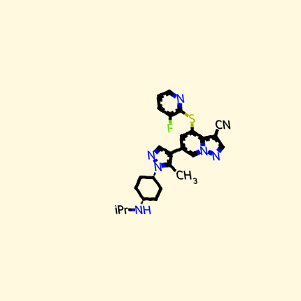 Cc1c(-c2cc(Sc3ncccc3F)c3c(C#N)cnn3c2)cnn1[C@H]1CC[C@@H](NC(C)C)CC1